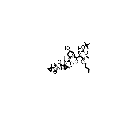 CCCCO[C@@H](CC)[C@H](NC(=O)OC(C)(C)C)C(=O)N1C[C@H](O)C[C@H]1C(=O)N[C@]1(C(=O)NS(=O)(=O)C2(C)CC2)C[C@H]1C